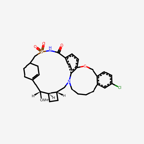 CO[C@@H]1C2=CCC(CC2)CS(=O)(=O)NC(=O)c2ccc3c(c2)N(CCCCc2cc(Cl)ccc2CO3)C[C@@H]2CC[C@H]21